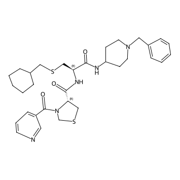 O=C(NC1CCN(Cc2ccccc2)CC1)[C@H](CSCC1CCCCC1)NC(=O)[C@@H]1CSCN1C(=O)c1cccnc1